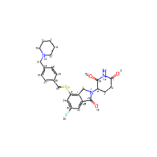 O=C1CCC(N2Cc3c(SCc4ccc(CN5CCCCC5)cc4)cc(F)cc3C2=O)C(=O)N1